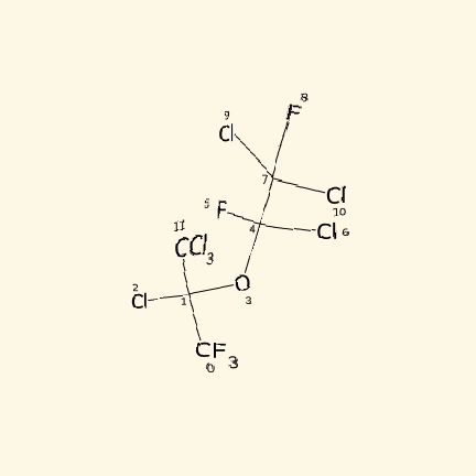 FC(F)(F)C(Cl)(OC(F)(Cl)C(F)(Cl)Cl)C(Cl)(Cl)Cl